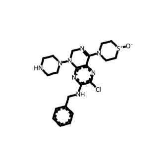 [O-][S+]1CCN(C2=NCN(N3CCNCC3)c3nc(NCc4ccccc4)c(Cl)nc32)CC1